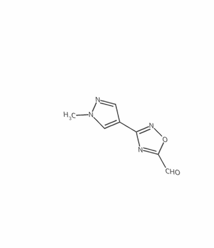 Cn1cc(-c2noc(C=O)n2)cn1